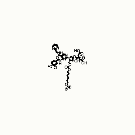 COc1ccc(CNc2nc(N3CCC[C@H]3COC(=O)OCCCCCCO[N+](=O)[O-])ncc2C(=O)NCc2ncccn2)cc1Cl.O=C(O)CC(O)(CC(=O)O)C(=O)O